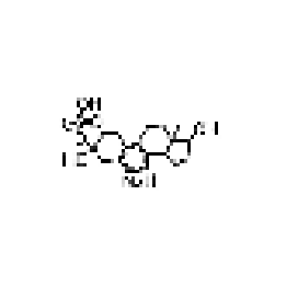 C[C@]12CCc3c(ccc4c3CC[C@@](O)(OS(=O)(=O)O)C4)C1CC[C@@H]2O.[NaH]